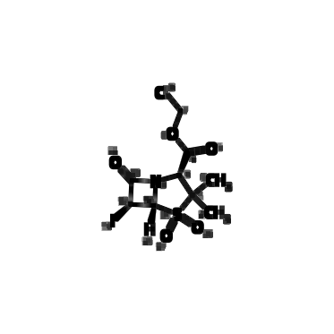 CC1(C)[C@H](C(=O)OCCl)N2C(=O)[C@H](I)[C@H]2S1(=O)=O